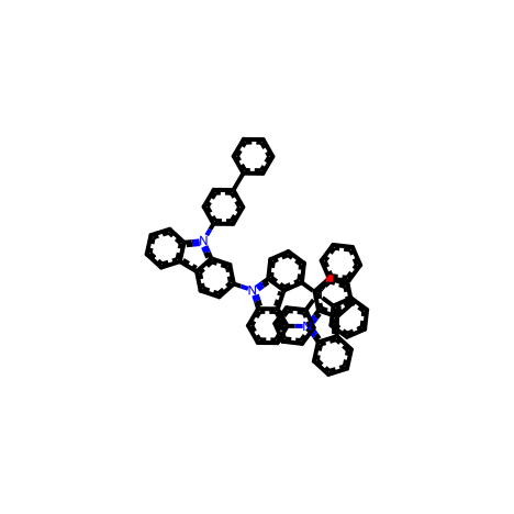 c1ccc(-c2ccc(-n3c4ccccc4c4ccc(-n5c6cccc(-n7c8ccccc8c8ccccc87)c6c6c([Si](c7ccccc7)(c7ccccc7)c7ccccc7)cccc65)cc43)cc2)cc1